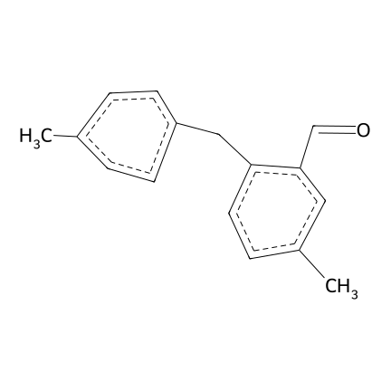 Cc1ccc(Cc2ccc(C)cc2C=O)cc1